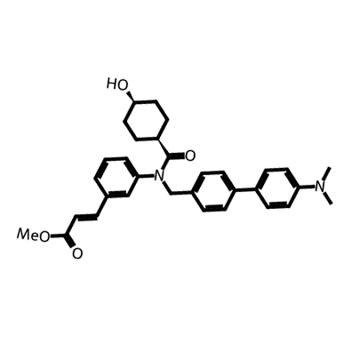 COC(=O)/C=C/c1cccc(N(Cc2ccc(-c3ccc(N(C)C)cc3)cc2)C(=O)[C@H]2CC[C@@H](O)CC2)c1